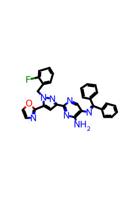 Nc1nc(-c2cc(-c3ncco3)n(Cc3ccccc3F)n2)ncc1N=C(c1ccccc1)c1ccccc1